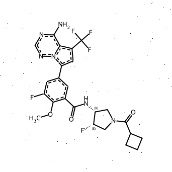 COc1c(F)cc(-c2cc(C(F)(F)F)c3c(N)ncnn23)cc1C(=O)N[C@@H]1CN(C(=O)C2CCC2)C[C@@H]1F